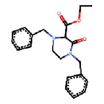 CCOC(=O)C1C(=O)N(Cc2ccccc2)CCN1Cc1ccccc1